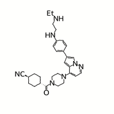 CCNCCNc1ccc(-c2cc3c(N4CCN(C(=O)[C@H]5CC[C@H](C#N)CC5)CC4)ccnn3c2)cc1